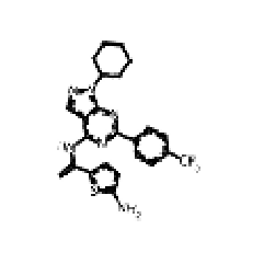 C=C(Nc1nc(-c2ccc(C(F)(F)F)cc2)nc2c1cnn2C1CCCCC1)c1ccc(N)s1